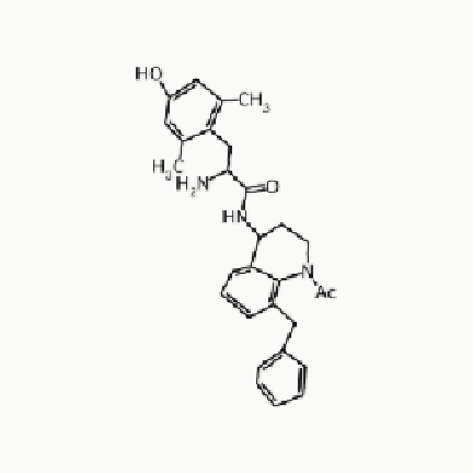 CC(=O)N1CCC(NC(=O)C(N)Cc2c(C)cc(O)cc2C)c2cccc(Cc3ccccc3)c21